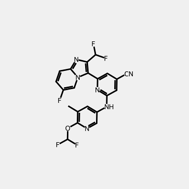 Cc1cc(Nc2cc(C#N)cc(-c3c(C(F)F)nc4ccc(F)cn34)n2)cnc1OC(F)F